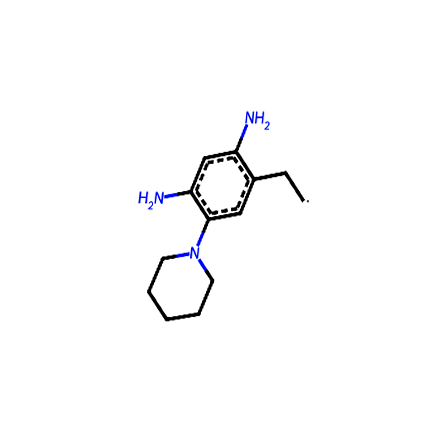 [CH2]Cc1cc(N2CCCCC2)c(N)cc1N